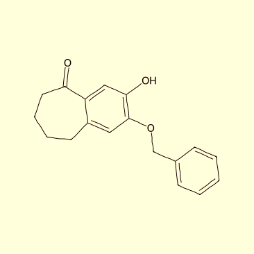 O=C1CCCCc2cc(OCc3ccccc3)c(O)cc21